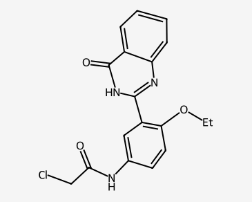 CCOc1ccc(NC(=O)CCl)cc1-c1nc2ccccc2c(=O)[nH]1